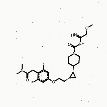 COCC(=N)NC(=O)N1CCC([C@H]2C[C@H]2CCOc2cc(F)c(CC(=O)N(C)C)c(F)c2)CC1